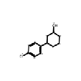 CCc1ccc(C2CCCC(O)C2)cc1